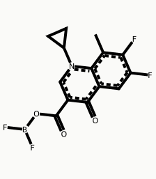 Cc1c(F)c(F)cc2c(=O)c(C(=O)OB(F)F)cn(C3CC3)c12